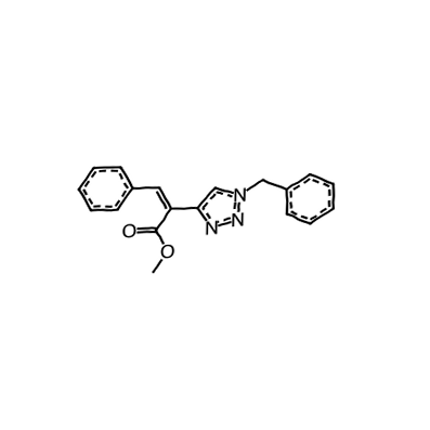 COC(=O)C(=Cc1ccccc1)c1cn(Cc2ccccc2)nn1